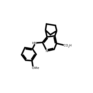 COc1cccc(Nc2ncc(C(=O)O)c3c2C2CCC3C2)c1